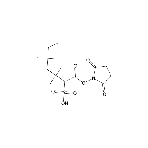 CCC(C)(C)CC(C)(C)C(C(=O)ON1C(=O)CCC1=O)S(=O)(=O)O